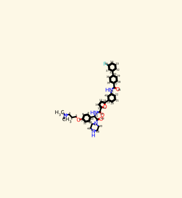 CN(C)CCCOc1ccc(C(NC(=O)c2ccc(-c3cccc(NC(=O)c4ccc(-c5cccc(F)c5)cc4)c3)o2)C(=O)N2CCNCC2)cc1